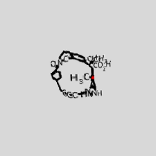 Cc1c2ccc3c1NNN3CCCCCc1ccc(cc1)C(=O)N1CCc3ccc(cc3C1)C2C(C)(C)C(=O)O